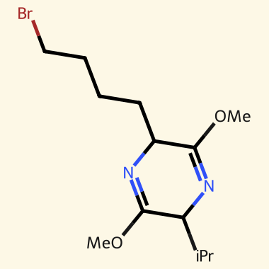 COC1=NC(C(C)C)C(OC)=NC1CCCCBr